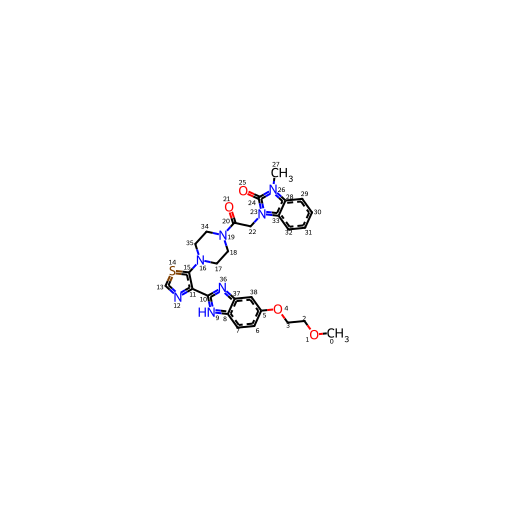 COCCOc1ccc2[nH]c(-c3ncsc3N3CCN(C(=O)Cn4c(=O)n(C)c5ccccc54)CC3)nc2c1